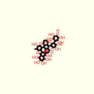 Cc1c(O)c(O)c(-c2c3ccccc3c(-c3c(O)c(O)c(O)c(-c4c(O)c(O)c(O)c(O)c4O)c3O)c3ccccc23)c2c1oc1c3c(O)c(O)c(O)c(O)c3c(O)c(O)c12